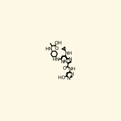 CC(N[C@H]1CC[C@H](Nc2cc(NC3CC3)c3ncc(C(=O)Nc4cc(O)ncn4)n3n2)CC1)C(=O)O